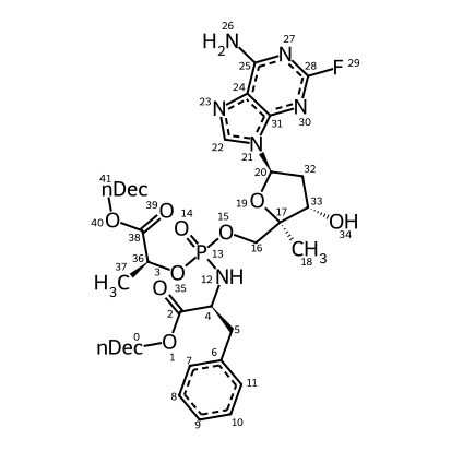 CCCCCCCCCCOC(=O)[C@H](Cc1ccccc1)NP(=O)(OC[C@@]1(C)O[C@@H](n2cnc3c(N)nc(F)nc32)C[C@@H]1O)O[C@@H](C)C(=O)OCCCCCCCCCC